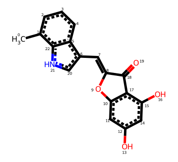 Cc1cccc2c(C=C3Oc4cc(O)cc(O)c4C3=O)c[nH]c12